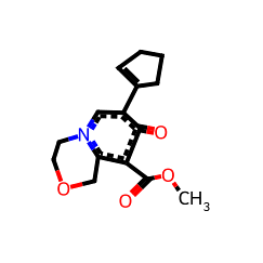 COC(=O)c1c2n(cc(C3=CCCC3)c1=O)CCOC2